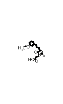 CCOc1cccc(C=CC=C2SC(=S)N(CCC(=O)O)C2=O)c1